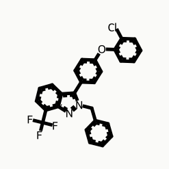 FC(F)(F)c1cccc2c(-c3ccc(Oc4ccccc4Cl)cc3)n(Cc3ccccc3)nc12